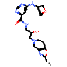 Cc1nc2c(o1)CCN(CC(O)CNC(=O)c1cc(NC3COC3)ncn1)C2